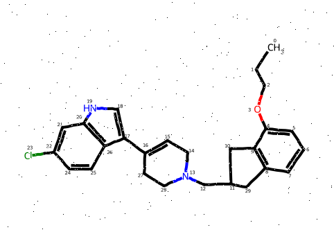 CCCOc1cccc2c1CC(CN1CC=C(c3c[nH]c4cc(Cl)ccc34)CC1)C2